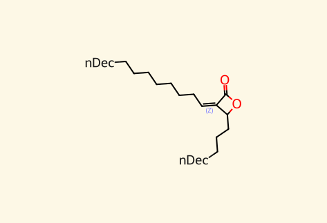 CCCCCCCCCCCCCCCCC/C=C1\C(=O)OC1CCCCCCCCCCCCC